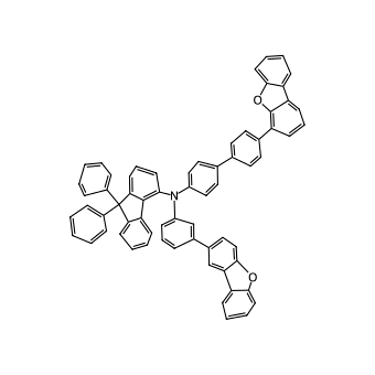 c1ccc(C2(c3ccccc3)c3ccccc3-c3c(N(c4ccc(-c5ccc(-c6cccc7c6oc6ccccc67)cc5)cc4)c4cccc(-c5ccc6oc7ccccc7c6c5)c4)cccc32)cc1